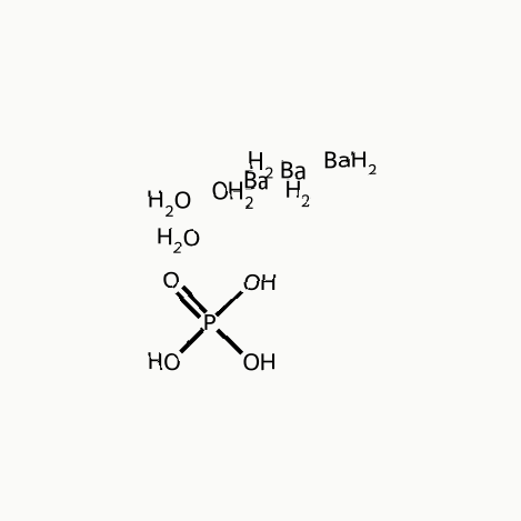 O.O.O.O=P(O)(O)O.[BaH2].[BaH2].[BaH2]